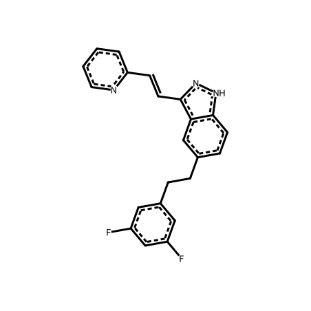 Fc1cc(F)cc(CCc2ccc3[nH]nc(C=Cc4ccccn4)c3c2)c1